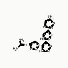 NC(N)=O.[SiH4].c1c[nH]nn1.c1c[nH]nn1.c1c[nH]nn1.c1c[nH]nn1